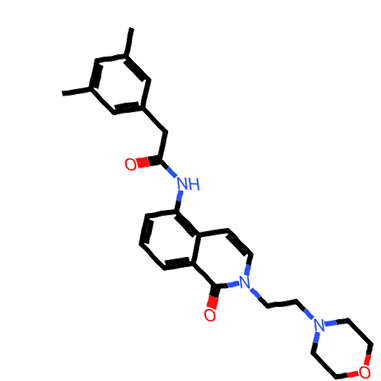 Cc1cc(C)cc(CC(=O)Nc2cccc3c(=O)n(CCN4CCOCC4)ccc23)c1